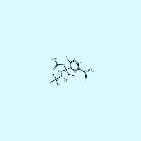 CCC(CC(=O)O)(N[S@+]([O-])C(C)(C)C)c1cc([N+](=O)[O-])ccc1F